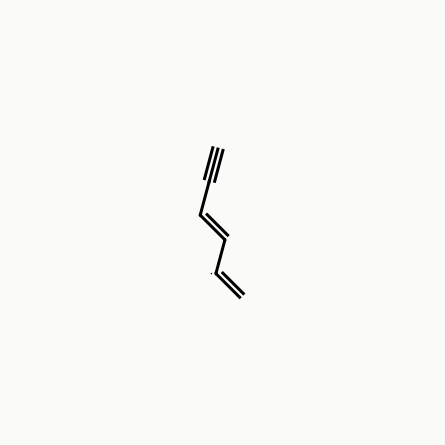 C#CC=C[C]=C